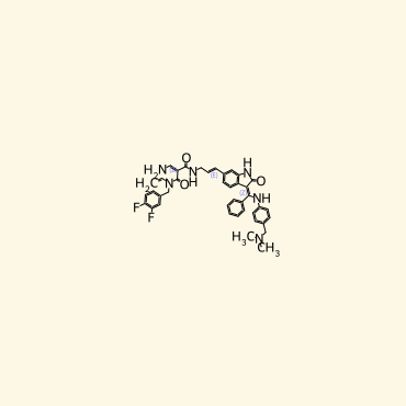 C=CN(Cc1ccc(F)c(F)c1)C(=O)/C(=C\N)C(=O)NC/C=C/c1ccc2c(c1)NC(=O)/C2=C(\Nc1ccc(CN(C)C)cc1)c1ccccc1